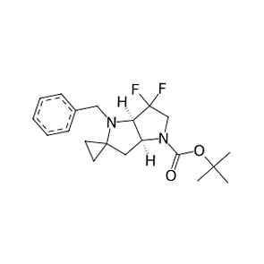 CC(C)(C)OC(=O)N1CC(F)(F)[C@H]2[C@@H]1CC1(CC1)N2Cc1ccccc1